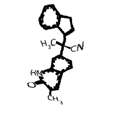 Cc1cc2ccc([C@@](C)(C#N)C3CCc4ccccc43)cc2[nH]c1=O